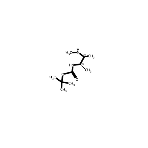 CN[C@@H](C)[C@H](C)NC(=O)OC(C)(C)C